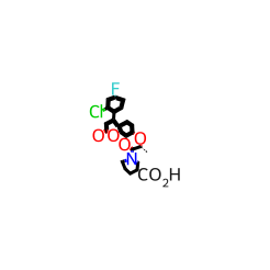 C[C@@H](Oc1ccc2c(-c3ccc(F)cc3Cl)cc(=O)oc2c1)C(=O)N1CCC[C@H](C(=O)O)C1